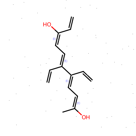 C=C\C(O)=C/C=C(C=C)/C(C=C)=C/C=C(\C)O